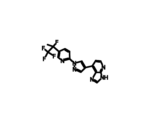 CC(F)(c1ccc(-n2cc(-c3ccnc4[nH]cnc34)cn2)nc1)C(F)(F)F